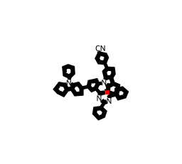 N#Cc1ccc(-c2ccc3c4ccccc4n(-c4ccc(-c5ccc6c7ccccc7n(-c7ccccc7)c6c5)cc4-c4nc(-c5ccccc5)nc(-c5ccccc5)n4)c3c2)cc1